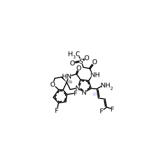 CS(=O)(=O)CC(=O)Nc1c(/C(N)=C/C=C(F)F)nn2c1C(=O)N[C@]1(CCOc3cc(F)cc(F)c31)C2